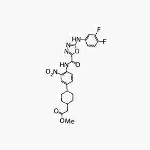 COC(=O)CC1CCC(c2ccc(NC(=O)c3nnc(Nc4ccc(F)c(F)c4)o3)c([N+](=O)[O-])c2)CC1